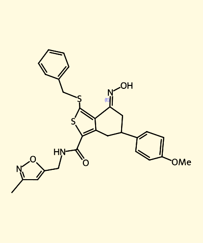 COc1ccc(C2C/C(=N\O)c3c(SCc4ccccc4)sc(C(=O)NCc4cc(C)no4)c3C2)cc1